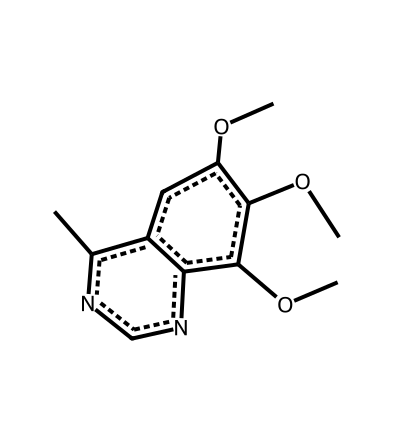 COc1cc2c(C)ncnc2c(OC)c1OC